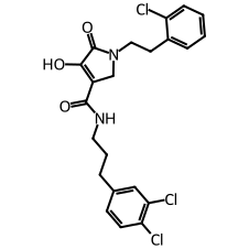 O=C(NCCCc1ccc(Cl)c(Cl)c1)C1=C(O)C(=O)N(CCc2ccccc2Cl)C1